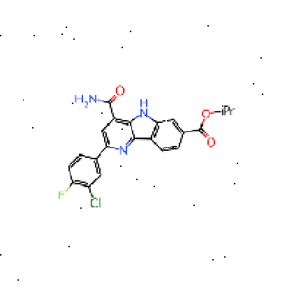 CC(C)OC(=O)c1ccc2c(c1)[nH]c1c(C(N)=O)cc(-c3ccc(F)c(Cl)c3)nc12